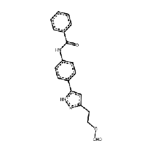 O=COCCc1cc(-c2ccc(NC(=O)c3ccccc3)cc2)[nH]n1